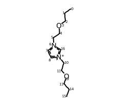 CCCOCCn1cc[n+](CCOCCC)c1